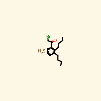 CCCCc1cccc(C(=O)CBr)c1CCCC.S